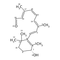 CC(C=CC1=C(C)[C@H](O)CCC1(C)C)=C/C=C\C(C)=CC=O